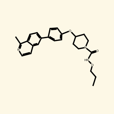 CCCONC(=O)N1CCC(Oc2ccc(-c3ccc4c(C)nccc4c3)cc2)CC1